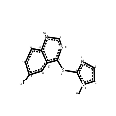 Cn1ccnc1Sc1ncnc2ccc(F)cc12